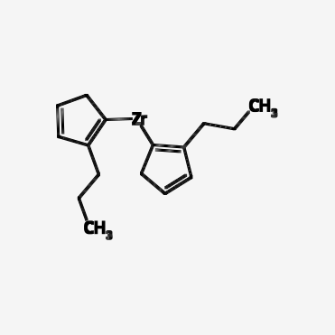 CCCC1=[C]([Zr][C]2=C(CCC)C=CC2)CC=C1